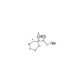 CC(C)CCC1([C]=O)CCCCC1